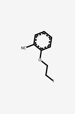 N#Cc1ccccc1OCCI